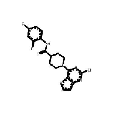 O=C(Nc1ccc(F)cc1F)C1CCN(c2nc(Cl)nc3ccsc23)CC1